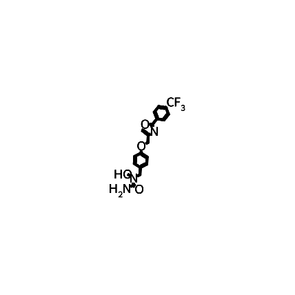 NC(=O)N(O)Cc1ccc(OCc2coc(-c3ccc(C(F)(F)F)cc3)n2)cc1